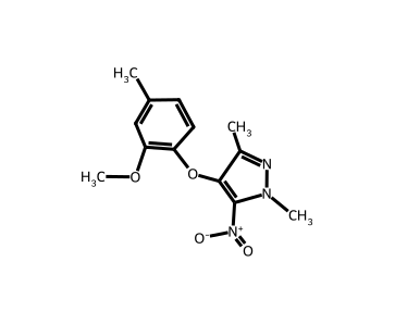 COc1cc(C)ccc1Oc1c(C)nn(C)c1[N+](=O)[O-]